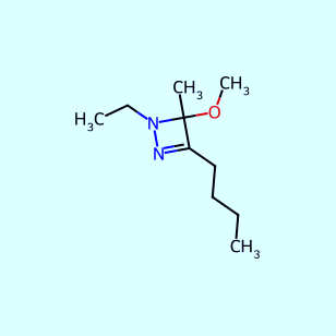 CCCCC1=NN(CC)C1(C)OC